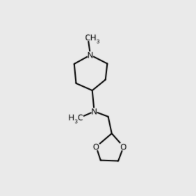 CN1CCC(N(C)CC2OCCO2)CC1